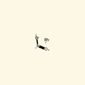 O=NBr.[Rh]